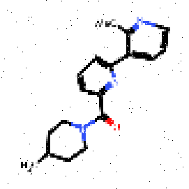 COc1ncccc1-c1cccc(C(=O)N2CCC(C)CC2)n1